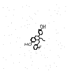 CCCC1C(c2ccc(O)cc2)Cc2ccc(O)cc2C1Cc1ccccc1F